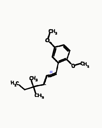 CCC(C)(C)[CH]/C=C/c1cc(OC)ccc1OC